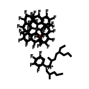 CCCC(C)C[PH+](CC(C)CCC(CC)CCC)c1cc(F)c(F)c(F)c1F.Fc1c(F)c(F)c2c([B-](c3c(F)c(F)c(F)c4c(F)c(F)c(F)c(F)c34)(c3c(F)c(F)c(F)c4c(F)c(F)c(F)c(F)c34)c3c(F)c(F)c(F)c4c(F)c(F)c(F)c(F)c34)c(F)c(F)c(F)c2c1F